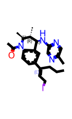 CCC/C(=C\CI)c1ccc2c(c1)[C@H](Nc1cnc(C)cn1)[C@@H](C)[C@H](C)N2C(C)=O